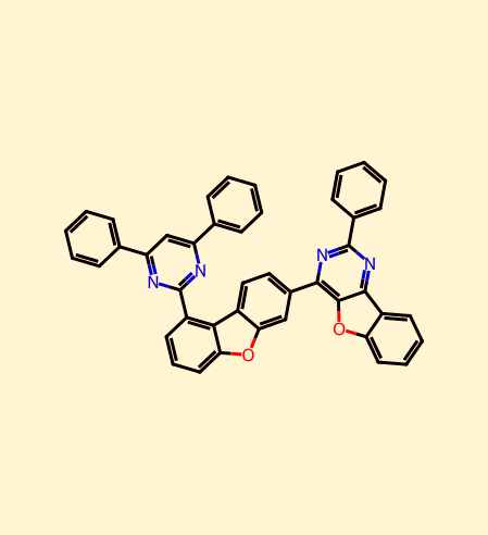 c1ccc(-c2cc(-c3ccccc3)nc(-c3cccc4oc5cc(-c6nc(-c7ccccc7)nc7c6oc6ccccc67)ccc5c34)n2)cc1